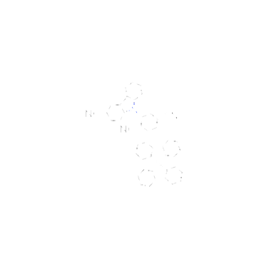 N#Cc1cc(-c2cccc([Si](c3ccccc3)(c3ccccc3)c3ccccc3)c2)c(C#N)c(-n2c3ccccc3c3cc(C#N)ccc32)c1